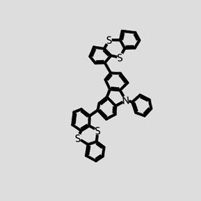 c1ccc(-n2c3ccc(-c4cccc5c4Sc4ccccc4S5)cc3c3cc(-c4cccc5c4Sc4ccccc4S5)ccc32)cc1